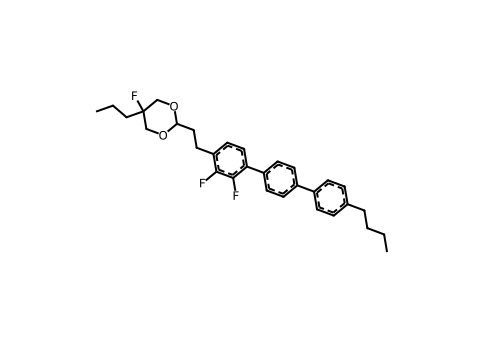 CCCCc1ccc(-c2ccc(-c3ccc(CCC4OCC(F)(CCC)CO4)c(F)c3F)cc2)cc1